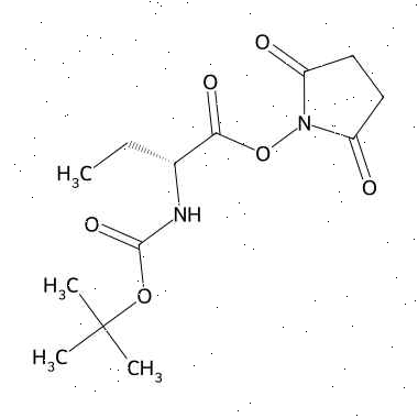 CC[C@@H](NC(=O)OC(C)(C)C)C(=O)ON1C(=O)CCC1=O